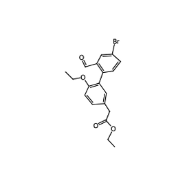 CCOC(=O)Cc1ccc(OCC)c(-c2ccc(Br)cc2C=O)c1